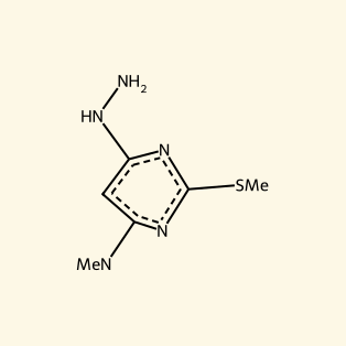 CNc1cc(NN)nc(SC)n1